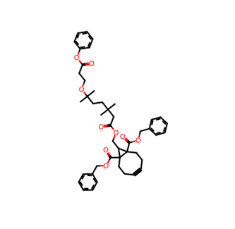 CC(C)(CCC(C)(C)OCCC(=O)Oc1ccccc1)CC(=O)OCC1C2(C(=O)OCc3ccccc3)CCC#CCCC12C(=O)OCc1ccccc1